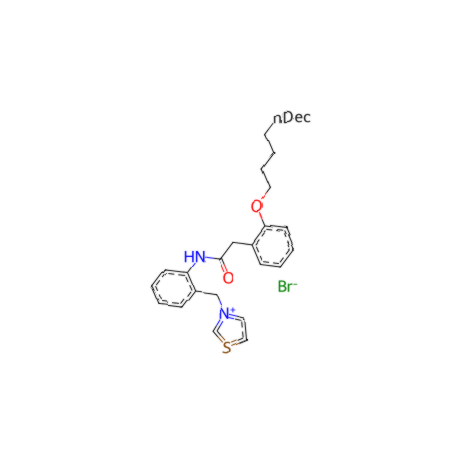 CCCCCCCCCCCCCCOc1ccccc1CC(=O)Nc1ccccc1C[n+]1ccsc1.[Br-]